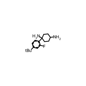 CC(C)(C)c1ccc(C2(N)CCC(N)CC2)c(F)c1